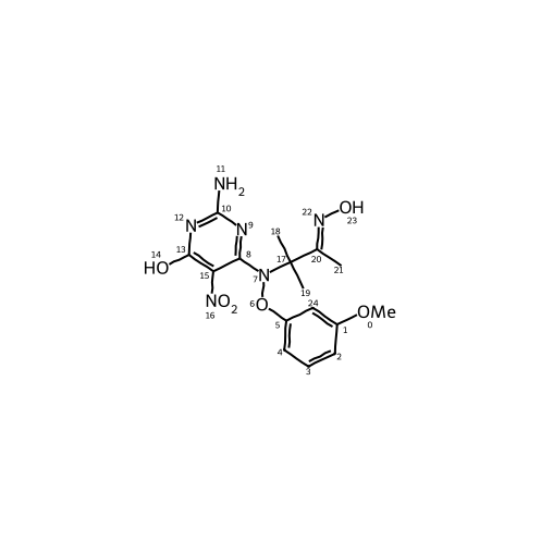 COc1cccc(ON(c2nc(N)nc(O)c2[N+](=O)[O-])C(C)(C)C(C)=NO)c1